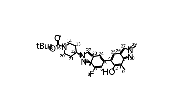 Cc1c(O)c(-c2cc(F)c3nn(C4CCN(C(=O)OC(C)(C)C)CC4)cc3c2)cc2cn(C)nc12